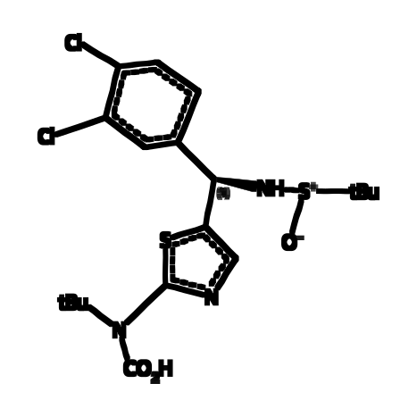 CC(C)(C)N(C(=O)O)c1ncc([C@H](N[S+]([O-])C(C)(C)C)c2ccc(Cl)c(Cl)c2)s1